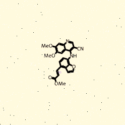 COC(=O)/C=C/c1ccc(Nc2c(C#N)cnc3cc(OC)c(OC)cc23)c2occc12